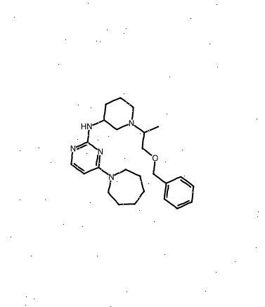 CC(COCc1ccccc1)N1CCCC(Nc2nccc(N3CCCCCC3)n2)C1